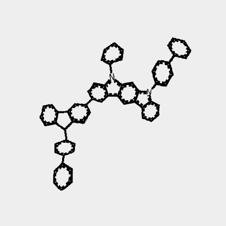 c1ccc(-c2ccc(C3c4ccccc4-c4cc(-c5ccc6c(c5)c5cc7c8ccccc8n(-c8ccc(-c9ccccc9)cc8)c7cc5n6-c5ccccc5)ccc43)cc2)cc1